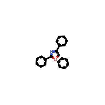 c1ccc(-c2coc(-c3ccccc3)n2)cc1.c1ccccc1